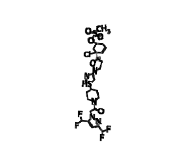 CS(=O)(=O)OC1=CC=CC(Cl)([C@@H]2CCN(C3=C[SH](C4CCN(C(=O)Cn5nc(C(F)F)cc5C(F)F)CC4)C=N3)O2)C1